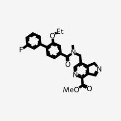 CCOc1cc(C(=O)N(C)Cc2cnc(C(=O)OC)c3c2CN=C3)ccc1-c1cccc(F)c1